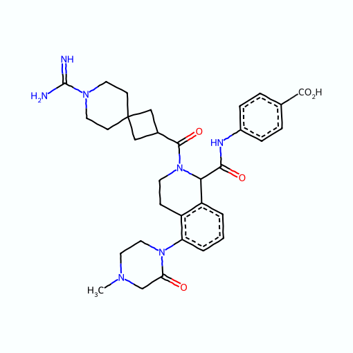 CN1CCN(c2cccc3c2CCN(C(=O)C2CC4(CCN(C(=N)N)CC4)C2)C3C(=O)Nc2ccc(C(=O)O)cc2)C(=O)C1